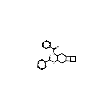 O=C(OC1CC2C3CCC3C2CC1OC(=O)c1ccccc1)c1ccccc1